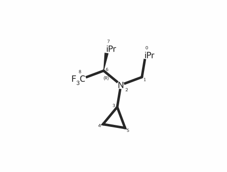 CC(C)CN(C1CC1)[C@H](C(C)C)C(F)(F)F